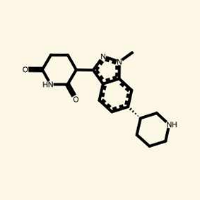 Cn1nc(C2CCC(=O)NC2=O)c2ccc([C@H]3CCCNC3)cc21